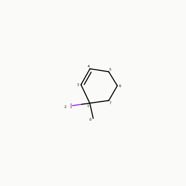 CC1(I)C=CCCC1